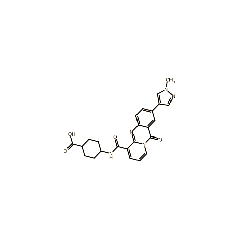 Cn1cc(-c2ccc3nc4c(C(=O)NC5CCC(C(=O)O)CC5)cccn4c(=O)c3c2)cn1